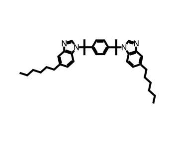 CCCCCCc1ccc2c(c1)ncn2C(C)(C)c1ccc(C(C)(C)n2cnc3cc(CCCCCC)ccc32)cc1